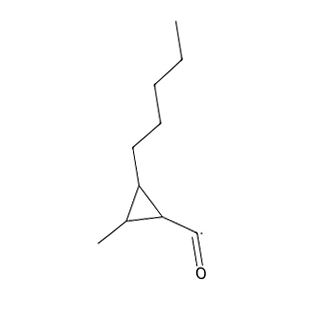 CCCCCC1C(C)C1[C]=O